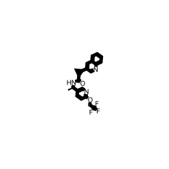 C[C@@H](NC(=O)C1CC1c1cnc2ccccc2c1)c1ccc(OCC(F)(F)F)nc1